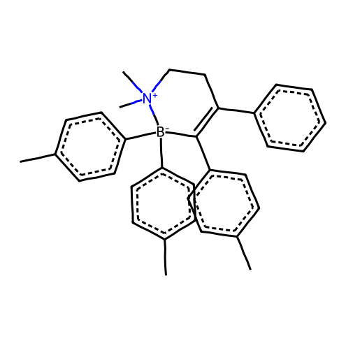 Cc1ccc(C2=C(c3ccccc3)CC[N+](C)(C)[B-]2(c2ccc(C)cc2)c2ccc(C)cc2)cc1